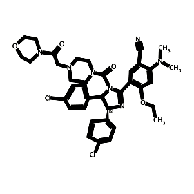 CCOc1cc(N(C)C)c(C#N)cc1C1=N[C@@H](c2ccc(Cl)cc2)C(c2ccc(Cl)cc2)N1C(=O)N1CCN(CC(=O)N2CCOCC2)CC1